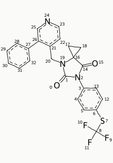 O=C1N(c2ccc(SC(F)(F)F)cc2)C(=O)C2(CC2)N1Cc1ccncc1-c1ccccc1